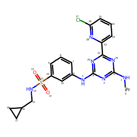 CC(C)Nc1nc(Nc2cccc(S(=O)(=O)NCC3CC3)c2)nc(-c2cccc(Cl)n2)n1